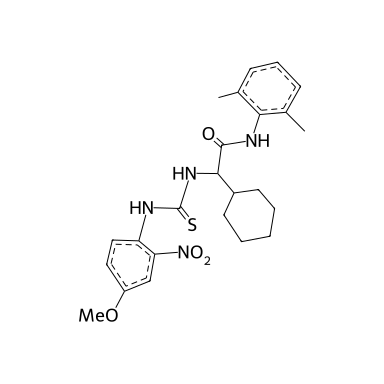 COc1ccc(NC(=S)NC(C(=O)Nc2c(C)cccc2C)C2CCCCC2)c([N+](=O)[O-])c1